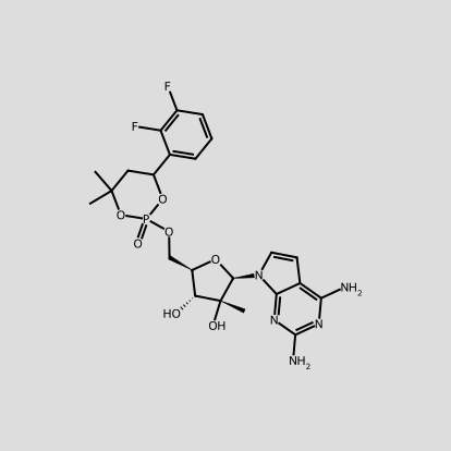 CC1(C)CC(c2cccc(F)c2F)OP(=O)(OC[C@H]2O[C@@H](n3ccc4c(N)nc(N)nc43)[C@](C)(O)[C@@H]2O)O1